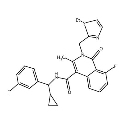 CCn1ccnc1Cn1c(C)c(C(=O)NC(c2cccc(F)c2)C2CC2)c2cccc(F)c2c1=O